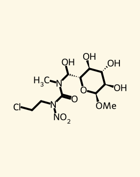 CO[C@H]1O[C@H](C(O)N(C)C(=O)N(CCCl)[N+](=O)[O-])[C@@H](O)[C@H](O)[C@H]1O